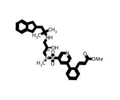 COC(=O)C=Cc1ccccc1-c1cncc(S(=O)(=O)N(C)C[C@H](O)CNC(C)(C)CC2Cc3ccccc3C2)c1